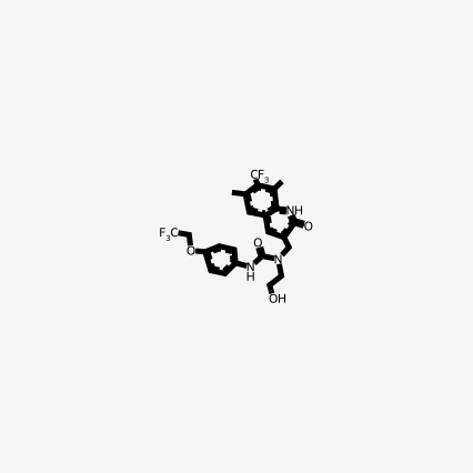 Cc1cc2cc(CN(CCO)C(=O)Nc3ccc(OCC(F)(F)F)cc3)c(=O)[nH]c2c(C)c1C(F)(F)F